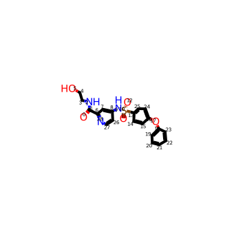 O=C(NCCO)c1cc(NS(=O)(=O)c2ccc(Oc3ccccc3)cc2)ccn1